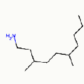 CCCCC(C)CCC(C)CCN